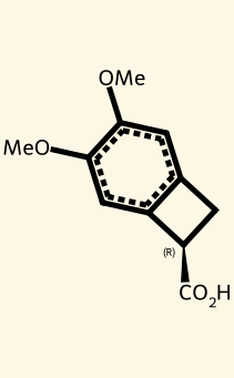 COc1cc2c(cc1OC)[C@H](C(=O)O)C2